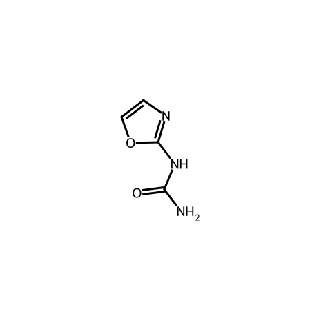 NC(=O)Nc1ncco1